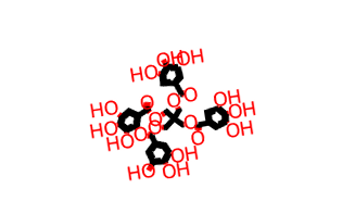 O=C(OCC(COC(=O)c1cc(O)c(O)c(O)c1)(COC(=O)c1cc(O)c(O)c(O)c1)COC(=O)c1cc(O)c(O)c(O)c1)c1cc(O)c(O)c(O)c1